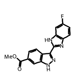 COC(=O)c1ccc2c(-c3nc4ccc(F)cc4[nH]3)n[nH]c2c1